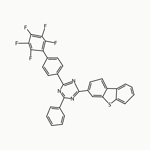 Fc1c(F)c(F)c(-c2ccc(-c3nc(-c4ccccc4)nc(-c4ccc5c(c4)sc4ccccc45)n3)cc2)c(F)c1F